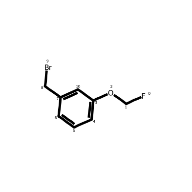 FCOc1cccc(CBr)c1